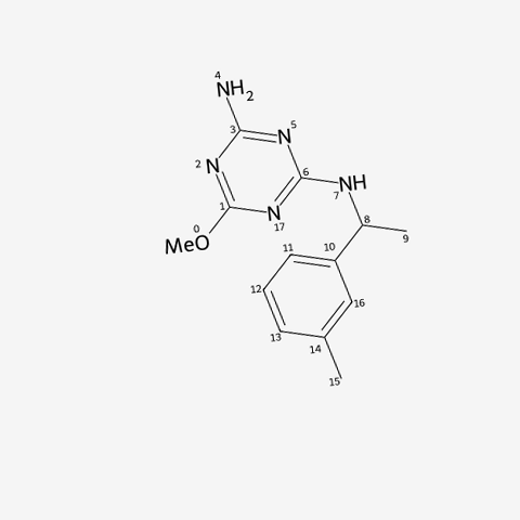 COc1nc(N)nc(NC(C)c2cccc(C)c2)n1